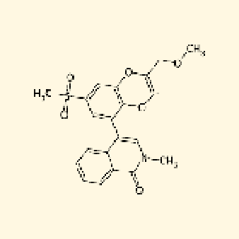 COCC1=[C]Oc2c(cc(S(C)(=O)=O)cc2-c2cn(C)c(=O)c3ccccc23)O1